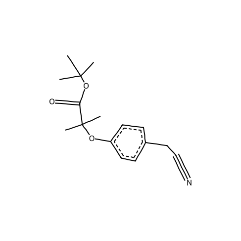 CC(C)(C)OC(=O)C(C)(C)Oc1ccc(CC#N)cc1